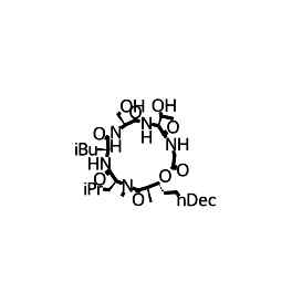 CCCCCCCCCCCC[C@H]1OC(=O)CNC(=O)[C@H](C(C)O)NC(=O)[C@H](CO)NC(=O)[C@H](C(C)CC)NC(=O)[C@H](CC(C)C)N(C)C(=O)[C@@H]1C